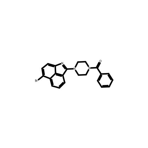 O=C(c1ccccc1)N1CCN(C2=Nc3ccc(Br)c4cccc2c34)CC1